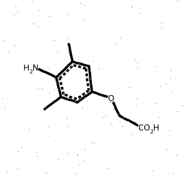 Cc1cc(OCC(=O)O)cc(C)c1N